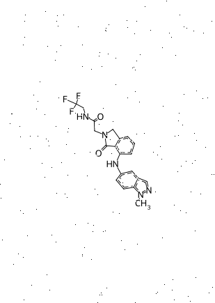 Cn1ncc2cc(Nc3cccc4c3C(=O)N(CC(=O)NCC(F)(F)F)C4)ccc21